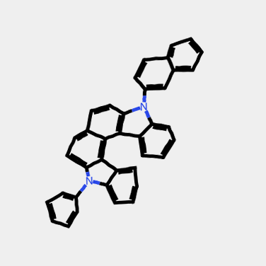 c1ccc(-n2c3ccccc3c3c4c(ccc32)ccc2c4c3ccccc3n2-c2ccc3ccccc3c2)cc1